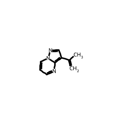 C=C(C)c1cnn2cccnc12